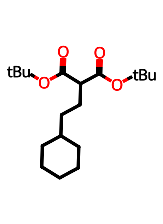 CC(C)(C)OC(=O)C(CCC1CCCCC1)C(=O)OC(C)(C)C